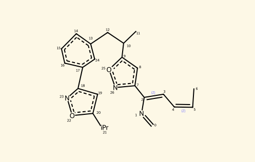 C=N/C(=C\C=C/C)c1cc(C(C)Cc2cccc(-c3cc(C(C)C)on3)c2)on1